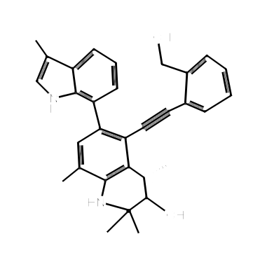 Cc1cc(-c2cccc3c(C)c[nH]c23)c(C#Cc2ccccc2CO)c2c1NC(C)(C)C(O)[C@H]2C